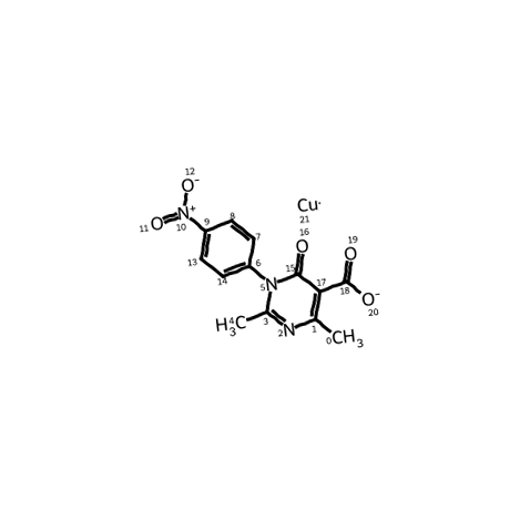 Cc1nc(C)n(-c2ccc([N+](=O)[O-])cc2)c(=O)c1C(=O)[O-].[Cu]